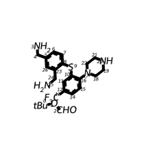 CC(C)(C)OC=O.NCc1ccc(Sc2cc(C(F)(F)F)ccc2N2CCNCC2)c(CN)c1